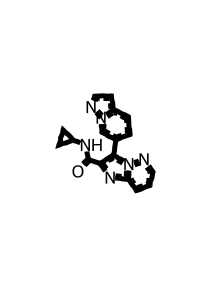 O=C(NC1CC1)c1nc2cccnn2c1-c1ccc2ccnn2c1